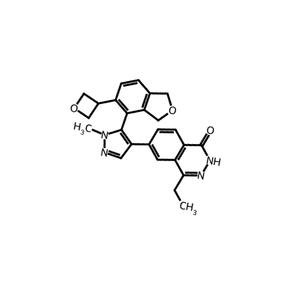 CCc1n[nH]c(=O)c2ccc(-c3cnn(C)c3-c3c(C4COC4)ccc4c3COC4)cc12